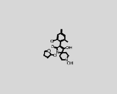 Cc1cc(C)c(C2=C(O)C3(CCN(O)CC3)N(OC3CCCO3)C2=O)c(Cl)c1